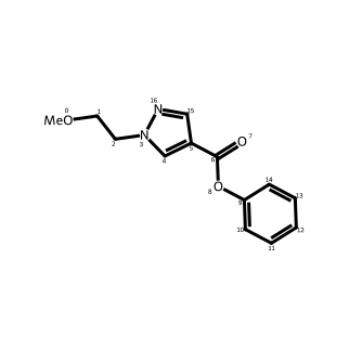 COCCn1cc(C(=O)Oc2ccccc2)cn1